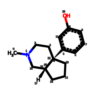 CN1CC[C@@]2(c3cccc(O)c3)CCC[C@@H]2C1